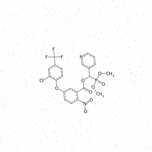 COP(=O)(OC)C(OC(=O)c1cc(Oc2ccc(C(F)(F)F)cc2Cl)ccc1[N+](=O)[O-])c1cccnc1